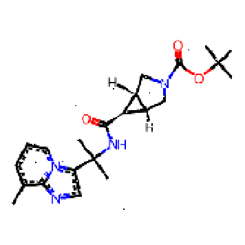 Cc1cccn2c(C(C)(C)NC(=O)[C@H]3[C@@H]4CN(C(=O)OC(C)(C)C)C[C@@H]43)cnc12